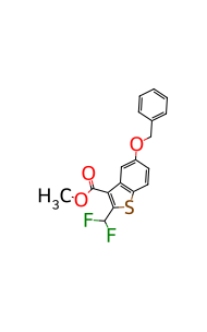 COC(=O)c1c(C(F)F)sc2ccc(OCc3ccccc3)cc12